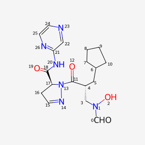 O=CN(O)C[C@@H](CC1CCCC1)C(=O)N1N=CC[C@H]1C(=O)Nc1cnccn1